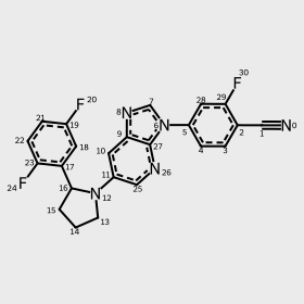 N#Cc1ccc(-n2cnc3cc(N4CCCC4c4cc(F)ccc4F)cnc32)cc1F